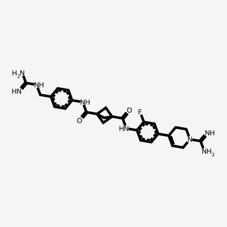 N=C(N)NCc1ccc(NC(=O)C23CC(C(=O)Nc4ccc(C5=CCN(C(=N)N)CC5)cc4F)(C2)C3)cc1